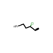 C=C[C@H](Cl)CCCCC